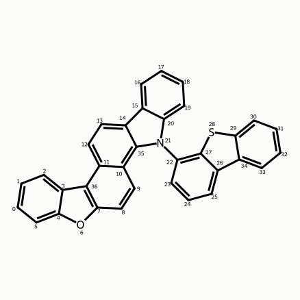 c1ccc2c(c1)oc1ccc3c(ccc4c5ccccc5n(-c5cccc6c5sc5ccccc56)c34)c12